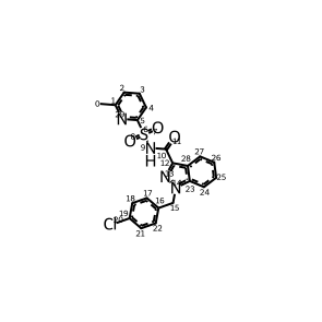 Cc1cccc(S(=O)(=O)NC(=O)c2nn(Cc3ccc(Cl)cc3)c3ccccc23)n1